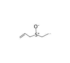 [CH2]C[S+]([O-])CC=C